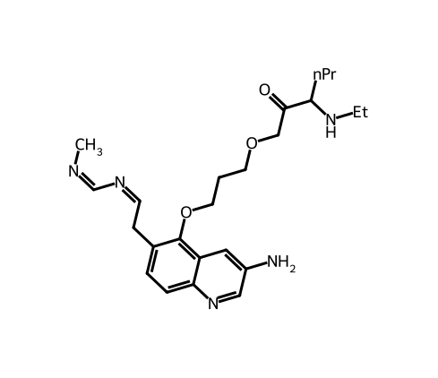 CCCC(NCC)C(=O)COCCCOc1c(C/C=N\C=N/C)ccc2ncc(N)cc12